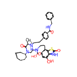 CC(NCCc1ccc(C(=O)NCc2ccccc2)cc1)C(=O)N(CCN(CCc1ccc(O)c2[nH]c(=O)sc12)C(=O)O)C1CCCCCC1